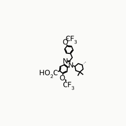 C[C@H]1CC(n2c(Cc3ccc(OC(F)(F)F)cc3)nc3cc(C(=O)O)c(OCC(F)(F)F)cc32)CC(C)(C)C1